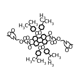 CC(C)c1ccc(Oc2cc3c4c(cc(Oc5ccc(C(C)C)cc5)c5c6c(Oc7ccc(C(C)C)cc7)cc7c8c(cc(Oc9ccc(C(C)C)cc9)c(c2c45)c86)C(=O)N(CC(=O)OCCN(CC2CO2)CC2CO2)C7=O)C(=O)N(CC(=O)OCCN(CC2CO2)CC2CO2)C3=O)cc1